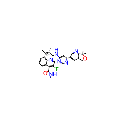 CNC(=O)c1c(F)cnc2c(C(C)[C@H](C)CNc3cc(-c4cnc5c(c4)COC5(C)C)ncn3)cccc12